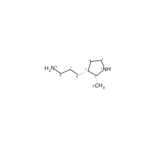 C[C@H]1NCC[C@H]1CCCN